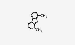 C[C]1C=CC=C2C1=Cc1c(C)cccc12